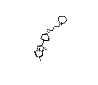 Cc1ccn2cc(-c3ccc(OCCCN4CCCCC4)cc3)nc2c1